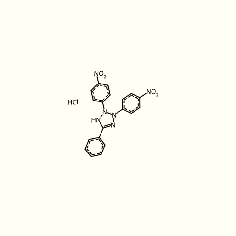 Cl.O=[N+]([O-])c1ccc(N2N=C(c3ccccc3)NN2c2ccc([N+](=O)[O-])cc2)cc1